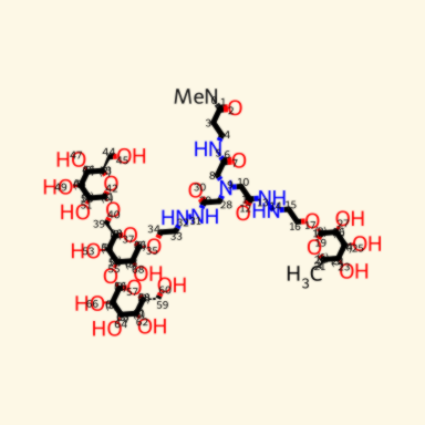 CNC(=O)CCNC(=O)CN(CC(=O)NNCCO[C@@H]1O[C@@H](C)[C@@H](O)[C@@H](O)[C@@H]1O)CC(=O)NNCCO[C@H]1O[C@H](CO[C@H]2O[C@H](CO)[C@@H](O)[C@H](O)[C@@H]2O)[C@@H](O)[C@H](O[C@H]2O[C@H](CO)[C@@H](O)[C@H](O)[C@@H]2O)[C@@H]1O